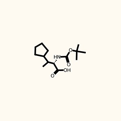 CC(C1CCCC1)[C@H](NC(=O)OC(C)(C)C)C(=O)O